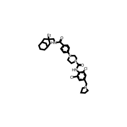 CCC1(CNC(=O)c2ccc(N3CCN(C(=O)Nc4c(Cl)cc(CN5CCCC5)cc4Cl)CC3)cc2)CC2CCCC(C2)C1